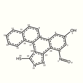 O=Nc1cc(O)cc2c3ccc4ccccc4c3n3c(S)nnc3c12